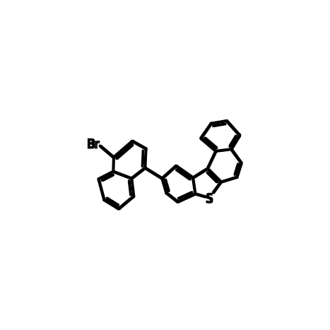 Brc1ccc(-c2ccc3sc4ccc5ccccc5c4c3c2)c2ccccc12